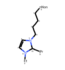 CCCCCCCCCCCCCN1C=CN(CC)C1C(C)C